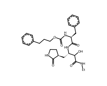 CCNC(=O)C(O)[C@H](C[C@@H]1CCNC1=O)NC(=O)[C@H](Cc1ccccc1)NC(=O)OCCCc1ccccc1